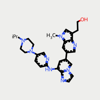 CC(C)N1CCN(c2ccc(Nc3cc(-c4cnc5c(CCO)cn(C)c5c4)cn4ccnc34)nc2)CC1